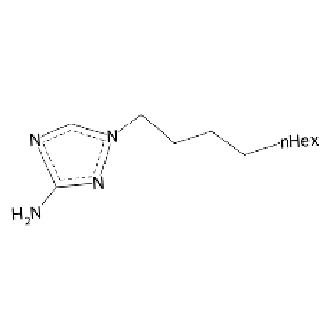 CCCCCCCCCCn1cnc(N)n1